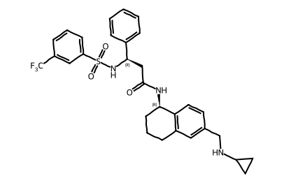 O=C(C[C@@H](NS(=O)(=O)c1cccc(C(F)(F)F)c1)c1ccccc1)N[C@@H]1CCCc2cc(CNC3CC3)ccc21